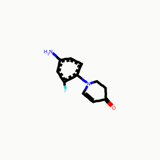 Nc1ccc(N2C=CC(=O)CC2)c(F)c1